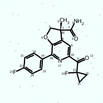 C[C@]1(C(N)=O)COc2c1cc(C(=O)C1(F)CC1)nc2-c1ccc(F)cc1